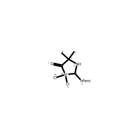 CCCCCC1NC(C)(C)C(=O)[N+]1(Cl)Cl